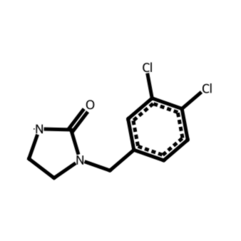 O=C1[N]CCN1Cc1ccc(Cl)c(Cl)c1